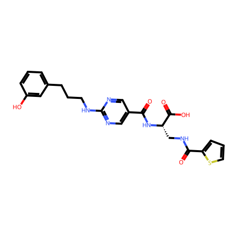 O=C(N[C@@H](CNC(=O)c1cccs1)C(=O)O)c1cnc(NCCCc2cccc(O)c2)nc1